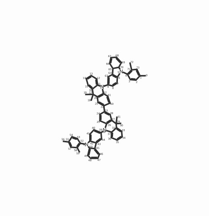 Cc1ccc(N2c3ccc(N4c5ccccc5C(C)(C)c5cc(-c6ccc7c(c6)C(C)(C)c6ccccc6N7c6ccc7c(c6)c6ccccc6n7-c6ccc(C)cc6C)ccc54)cc3C3C=CC=CC32)c(C)c1